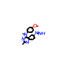 COc1ccc(N(C)c2nc(C)nc3ccc(N=N)cc23)cc1